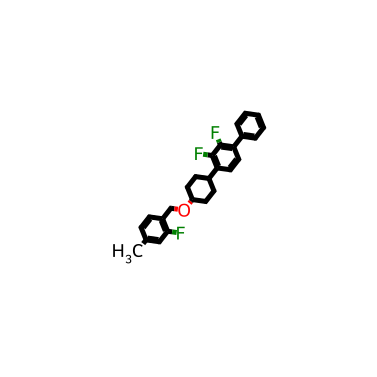 Cc1ccc(COC2CCC(c3ccc(-c4ccccc4)c(F)c3F)CC2)c(F)c1